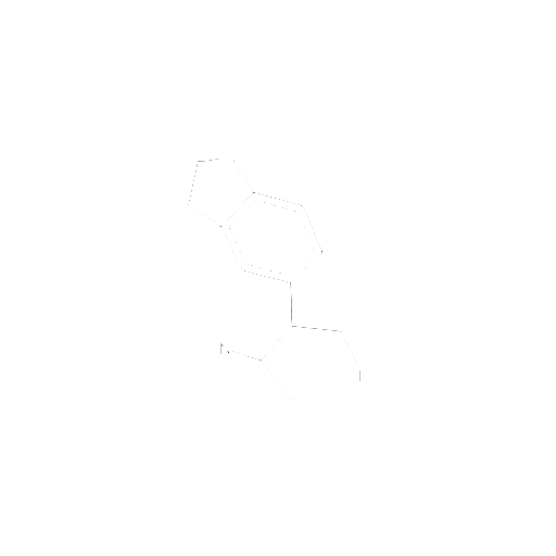 CC(N)C(CF)c1ccc2c(c1)CCS2